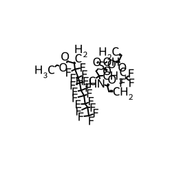 C=C(C(=O)OCC)C(F)(F)C(F)(F)C(F)(F)C(F)(F)C(F)(F)C(F)(F)C(F)(F)C(F)(F)F.C=CC(=O)NC(C)(C)CS(=O)(=O)O.C=CC(=O)OCC(F)(F)F